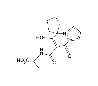 CC(NC(=O)C1=C(O)C2(CCCC2)n2cccc2C1=O)C(=O)O